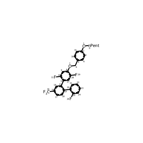 CCCCCOc1ccc(COc2cc(F)c(-c3cc(C(F)(F)F)ccc3-c3ccccc3F)cc2F)cc1